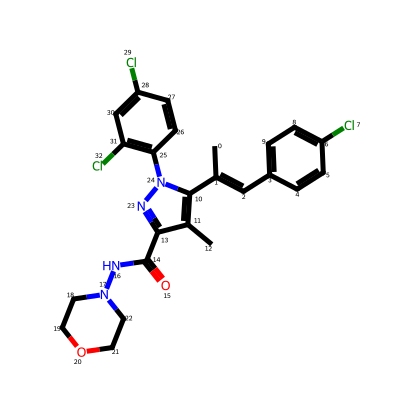 C/C(=C\c1ccc(Cl)cc1)c1c(C)c(C(=O)NN2CCOCC2)nn1-c1ccc(Cl)cc1Cl